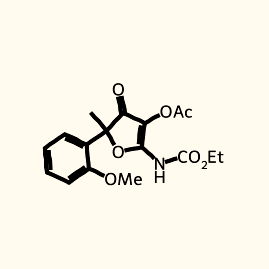 CCOC(=O)NC1=C(OC(C)=O)C(=O)C(C)(c2ccccc2OC)O1